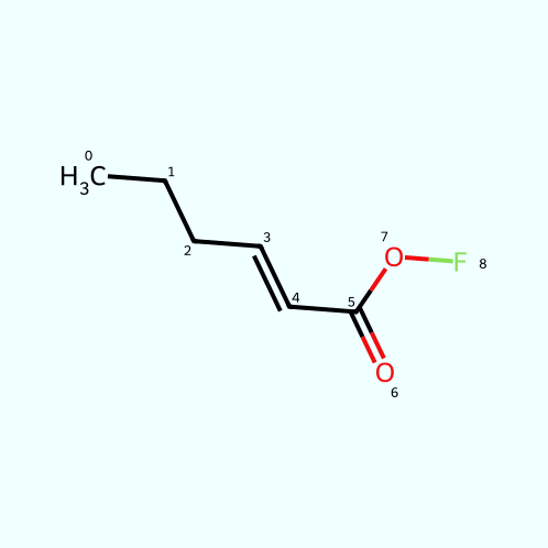 CCCC=CC(=O)OF